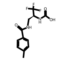 Cc1ccc(C(=O)NC[C@H](NC(=O)O)C(F)(F)F)cc1